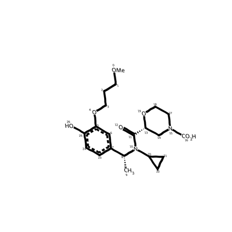 COCCCOc1cc([C@@H](C)N(C(=O)[C@H]2CN(C(=O)O)CCO2)C2CC2)ccc1O